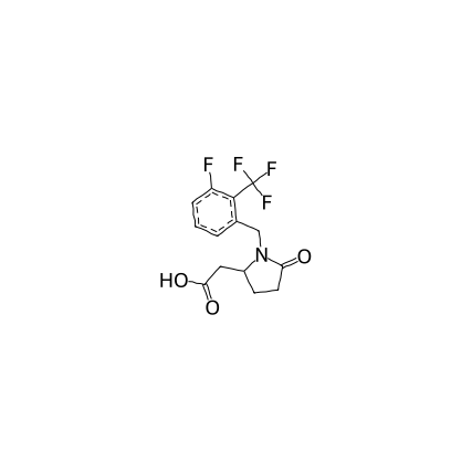 O=C(O)CC1CCC(=O)N1Cc1cccc(F)c1C(F)(F)F